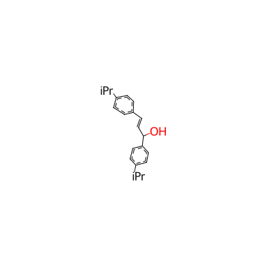 CC(C)c1ccc(/C=C/C(O)c2ccc(C(C)C)cc2)cc1